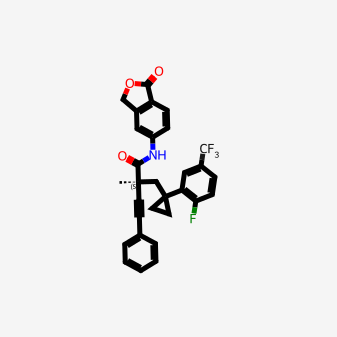 C[C@@](C#Cc1ccccc1)(CC1(c2cc(C(F)(F)F)ccc2F)CC1)C(=O)Nc1ccc2c(c1)COC2=O